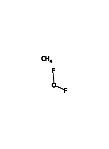 C.FOF